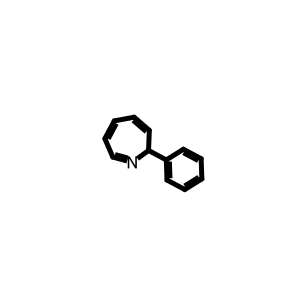 C1=CC=NC(c2ccccc2)C=C1